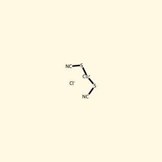 N#C[S][Co+][S]C#N.[Cl-]